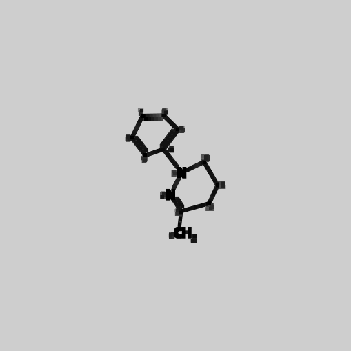 CC1=NN(c2ccccc2)CCC1